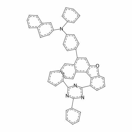 c1ccc(-c2nc(-c3ccccc3)nc(-c3cccc4oc5cc(-c6ccc(N(c7ccccc7)c7ccc8ccccc8c7)cc6)c6ccccc6c5c34)n2)cc1